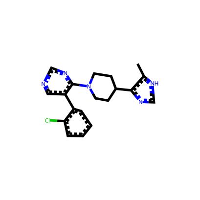 Cc1[nH]cnc1C1CCN(c2ncncc2-c2ccccc2Cl)CC1